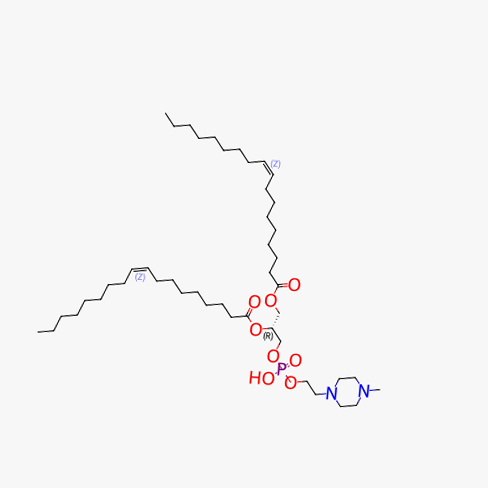 CCCCCCCC/C=C\CCCCCCCC(=O)OC[C@H](COP(=O)(O)OCCN1CCN(C)CC1)OC(=O)CCCCCCC/C=C\CCCCCCCC